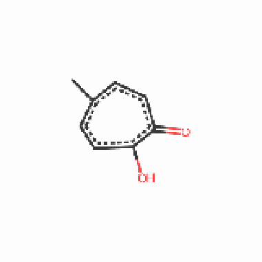 Cc1ccc(O)c(=O)cc1